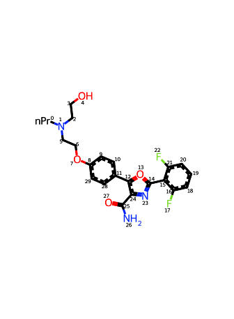 CCCN(CCO)CCOc1ccc(-c2oc(-c3c(F)cccc3F)nc2C(N)=O)cc1